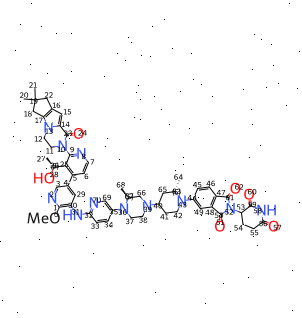 COc1ncc(-c2ccnc(N3CCn4c(cc5c4CC(C)(C)C5)C3=O)c2[C@H](C)O)cc1Nc1ccc(N2CCN(C3CCN(c4ccc5c(c4)C(=O)N(C4CCC(=O)NC4=O)C5=O)[C@@H](C)C3)C[C@@H]2C)cn1